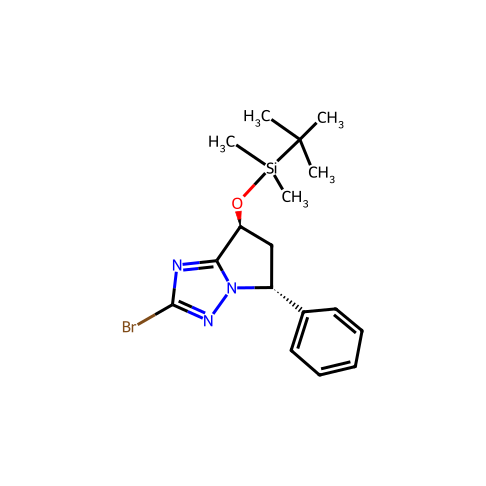 CC(C)(C)[Si](C)(C)O[C@H]1C[C@H](c2ccccc2)n2nc(Br)nc21